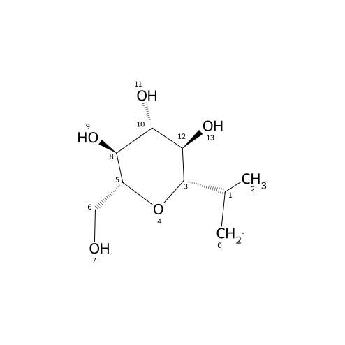 [CH2]C(C)[C@@H]1O[C@H](CO)[C@@H](O)[C@H](O)[C@H]1O